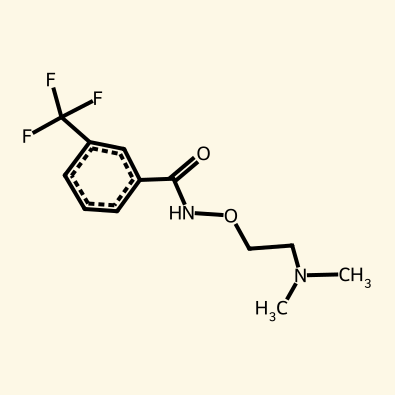 CN(C)CCONC(=O)c1cccc(C(F)(F)F)c1